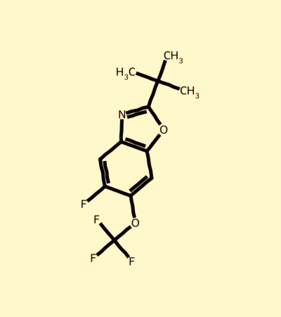 CC(C)(C)c1nc2cc(F)c(OC(F)(F)F)cc2o1